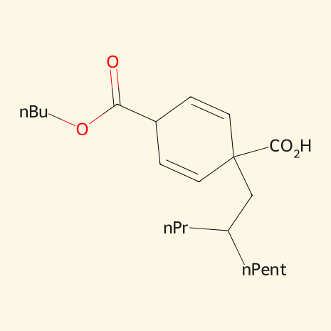 CCCCCC(CCC)CC1(C(=O)O)C=CC(C(=O)OCCCC)C=C1